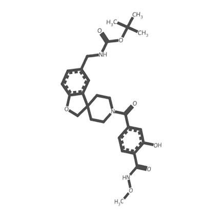 CONC(=O)c1ccc(C(=O)N2CCC3(CC2)COc2ccc(CNC(=O)OC(C)(C)C)cc23)cc1O